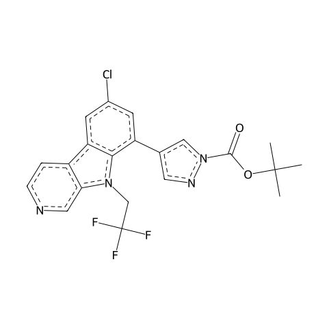 CC(C)(C)OC(=O)n1cc(-c2cc(Cl)cc3c4ccncc4n(CC(F)(F)F)c23)cn1